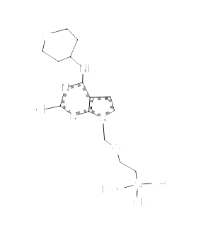 C[Si](C)(C)CCOCn1ccc2c(NC3CCOCC3)nc(Cl)nc21